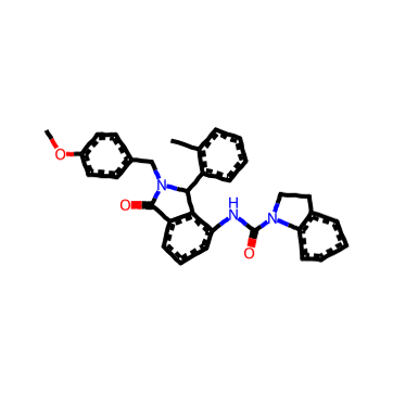 COc1ccc(CN2C(=O)c3cccc(NC(=O)N4CCc5ccccc54)c3C2c2ccccc2C)cc1